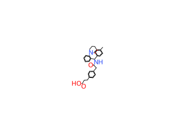 Cc1ccc(C(NC(=O)Cc2ccc(CCC(=O)O)cc2)c2ccccc2N2CCCCC2)cc1